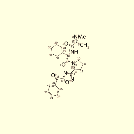 CN[C@@H](C)C(=O)N[C@H](C(=O)N1CCC[C@H]1c1noc(C(=O)c2ccccc2)n1)C1CCCCC1